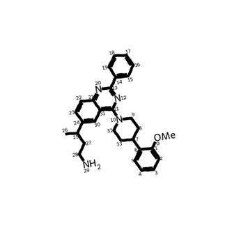 COc1ccccc1C1CCN(c2nc(-c3ccccc3)nc3ccc(C(C)CCN)cc23)CC1